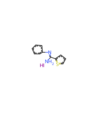 I.NC(=Nc1ccccc1)c1cccs1